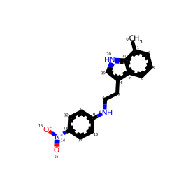 Cc1cccc2c(CCNc3ccc([N+](=O)[O-])cc3)c[nH]c12